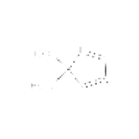 O=C(O)C1(C(=O)O)C=NC=N1